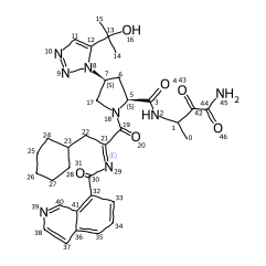 CC(NC(=O)[C@@H]1C[C@H](n2nncc2C(C)(C)O)CN1C(=O)/C(CC1CCCCC1)=N/C(=O)c1cccc2ccncc12)C(=O)C(N)=O